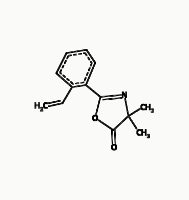 C=Cc1ccccc1C1=NC(C)(C)C(=O)O1